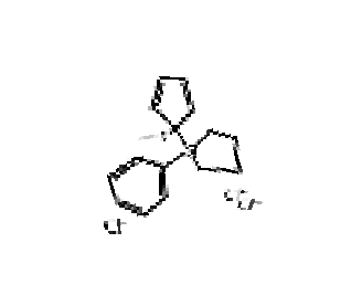 [Cl-].[Cl-].[Cl-].[Ti+3][C]1([Si]2(c3ccccc3)CCCC2)C=CC=C1